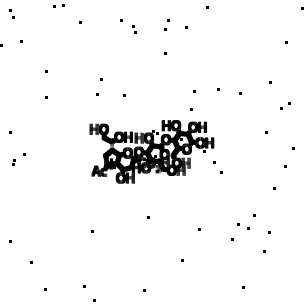 CC(=O)N1C[C@H](C(O)CO)C2OC(OC3C(O)C(CO)OC(OC4C(CO)OC(O)C(O)C4O)C3O)(C(=O)O)CC(O)C21